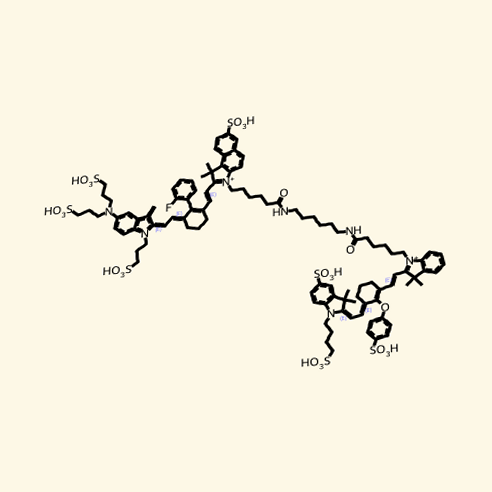 C=c1/c(=C\C=C2/CCCC(/C=C/C3=[N+](CCCCCC(=O)NCCCCCCNC(=O)CCCCC[N+]4=C(/C=C/C5=C(Oc6ccc(S(=O)(=O)O)cc6)C(=C/C=C6/N(CCCCS(=O)(=O)O)c7ccc(S(=O)(=O)O)cc7C6(C)C)/CCC5)C(C)(C)c5ccccc54)c4ccc5cc(S(=O)(=O)O)ccc5c4C3(C)C)=C2c2ccccc2F)n(CCCS(=O)(=O)O)c2ccc(N(CCCS(=O)(=O)O)CCCS(=O)(=O)O)cc12